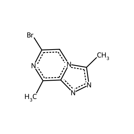 Cc1nc(Br)cn2c(C)nnc12